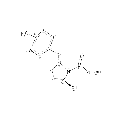 CC(C)(C)OC(=O)N1[C@@H](Cc2ccc(C(F)(F)F)nc2)CC[C@@H]1O